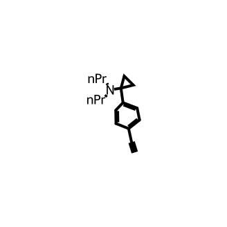 C#Cc1ccc(C2(N(CCC)CCC)CC2)cc1